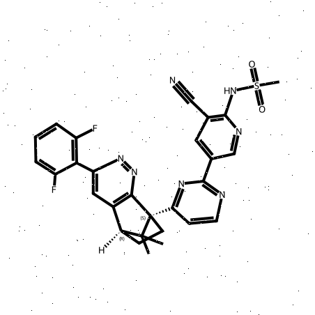 CC1(C)[C@H]2CC[C@]1(c1ccnc(-c3cnc(NS(C)(=O)=O)c(C#N)c3)n1)c1nnc(-c3c(F)cccc3F)cc12